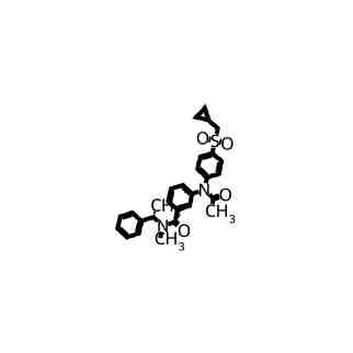 CC(=O)N(c1ccc(S(=O)(=O)CC2CC2)cc1)c1cccc(C(=O)N(C)[C@@H](C)c2ccccc2)c1